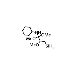 COC(C[SiH3])C(NC1CCCCC1)(OC)OC